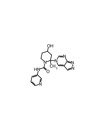 CC1(n2cnc3nncc-3c2)CC(O)CCN1C(=O)Nc1cccnc1